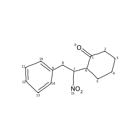 O=C1CCCCC1C(Cc1ccccc1)[N+](=O)[O-]